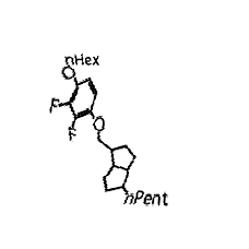 CCCCCCOc1ccc(OCC2CCC3C(CCCCC)CCC23)c(F)c1F